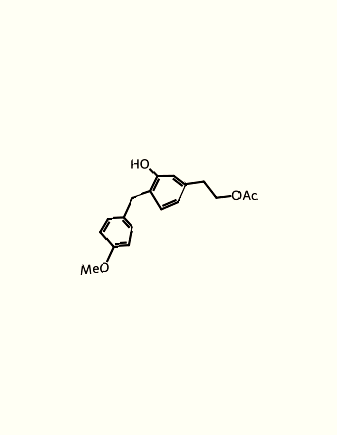 COc1ccc(Cc2ccc(CCOC(C)=O)cc2O)cc1